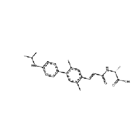 Cc1cc(-c2ccc(NC(C)C)cc2)c(C)cc1/C=C/C(=O)N[C@H](C)C(=O)O